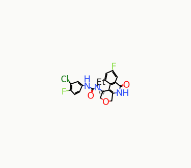 CCN(C(=O)Nc1ccc(F)c(Cl)c1)[C@@H]1COCc2[nH]c(=O)c3cc(F)ccc3c21